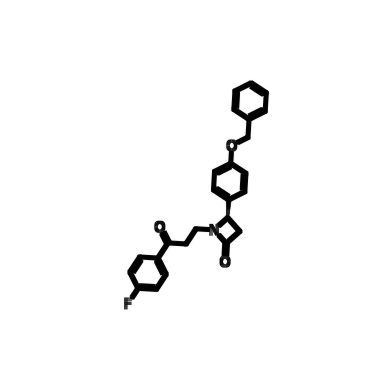 O=C(CCN1C(=O)C[C@@H]1c1ccc(OCc2ccccc2)cc1)c1ccc(F)cc1